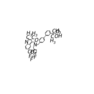 Cc1ccc2nc(C)c(C)c(C(=O)N(Cc3ccc(-c4cccc(C(C)(C)C(=O)O)c4)cc3)Cc3ccc(C(F)(F)F)o3)c2c1